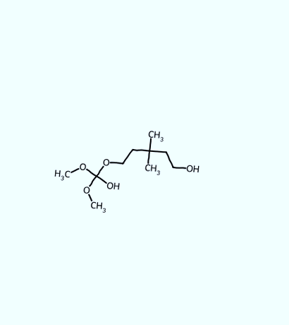 COC(O)(OC)OCCC(C)(C)CCO